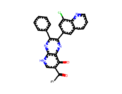 CC(C)C(=O)c1c[nH]c2nc(-c3ccccc3)c(-c3cc(Cl)c4ncccc4c3)nc2c1=O